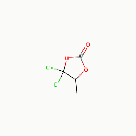 CC1OC(=O)OC1(Cl)Cl